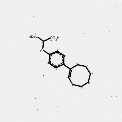 CCCCCCCCCCC(Oc1ccc(C2=CCCCCCC2)cc1)C(=O)O